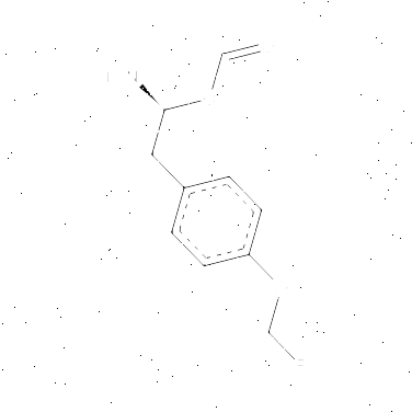 N[C@H](Cc1ccc(OCF)cc1)OC=O